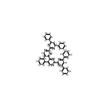 c1ccc(-c2cc(-c3ccccc3)nc(-c3ncc4c5ccccc5c5cnc(-c6nc(-c7ccccc7)cc(-c7ccccc7)n6)nc5c4n3)n2)cc1